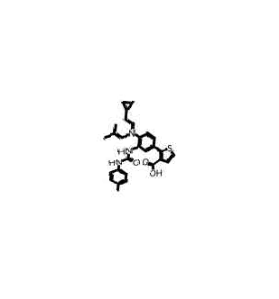 Cc1ccc(NC(=O)Nc2cc(-c3sccc3C(=O)O)ccc2N(CCC2CC2)CC(C)C)cc1